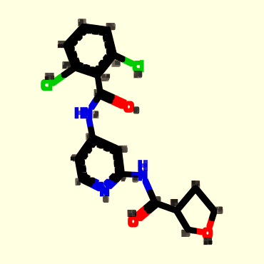 O=C(Nc1ccnc(NC(=O)C2CCOC2)c1)c1c(Cl)cccc1Cl